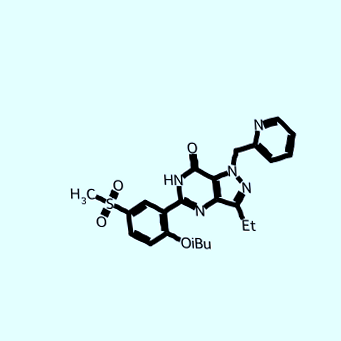 CCc1nn(Cc2ccccn2)c2c(=O)[nH]c(-c3cc(S(C)(=O)=O)ccc3OCC(C)C)nc12